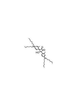 CCCCCCN(CCCCCC)c1ccc(C2=C(O)/C(=C3\C=CC(=[N+](CCCCCC)CCCCCC)C=C3C)C(=O)C2=O)c(C)c1